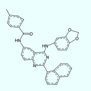 Cc1ccc(C(=O)Nc2ccc3nc(-c4cccc5ccccc45)nc(Nc4ccc5c(c4)OCO5)c3c2)cc1